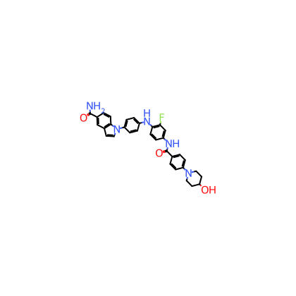 NC(=O)c1ccc2c(ccn2-c2ccc(Nc3ccc(NC(=O)c4ccc(N5CCC(O)CC5)cc4)cc3F)cc2)c1